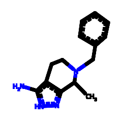 CC1c2n[nH]c(N)c2CCN1Cc1ccccc1